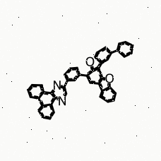 c1ccc(-c2ccc3oc4c(-c5cccc(-c6cnc7c8ccccc8c8ccccc8c7n6)c5)cc5c6ccccc6oc5c4c3c2)cc1